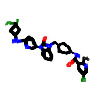 Cc1ncc(Cl)cc1C(=O)N[C@H]1CC[C@H](Cn2c(=O)n(-c3ccc(NC4CC(F)(F)C4)nc3)c3ccccc32)CC1